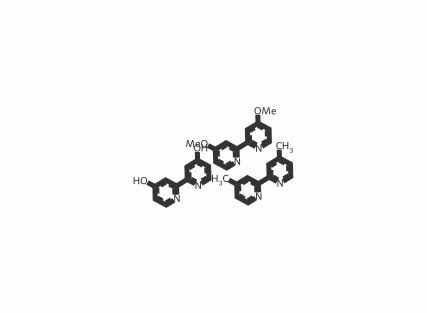 COc1ccnc(-c2cc(OC)ccn2)c1.Cc1ccnc(-c2cc(C)ccn2)c1.Oc1ccnc(-c2cc(O)ccn2)c1